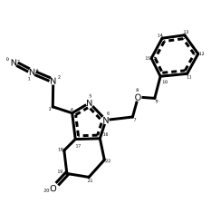 [N-]=[N+]=NCc1nn(COCc2ccccc2)c2c1CC(=O)CC2